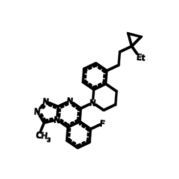 CCC1(CCc2cccc3c2CCCN3c2nc3nnc(C)n3c3cccc(F)c23)CC1